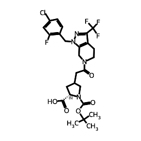 CC(C)(C)OC(=O)N1CC(CC(=O)N2CCc3c(C(F)(F)F)nn(Cc4ccc(Cl)cc4F)c3C2)C[C@H]1C(=O)O